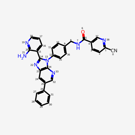 N#Cc1ccc(C(=O)NCc2ccc(-n3c(-c4cccnc4N)nc4cc(-c5ccccc5)cnc43)cc2)cn1